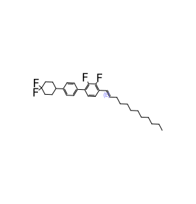 CCCCCCCCCC/C=C/c1ccc(-c2ccc(C3CCC(F)(F)CC3)cc2)c(F)c1F